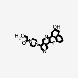 C=CC(=O)N1CCN(c2cncc3c(F)c(-c4cc(O)cc5ccccc45)ncc23)CC1